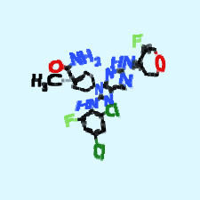 C[C@]1(C(N)=O)CC[C@H](n2c(Nc3c(F)cc(Cl)cc3Cl)nc3cnc(N[C@H]4CCOC[C@H]4F)nc32)CC1